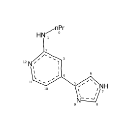 CCCNc1cc(-c2c[nH]cn2)ccn1